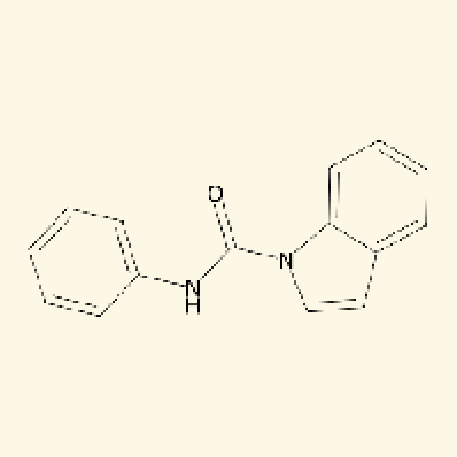 O=C(Nc1ccccc1)n1ccc2ccccc21